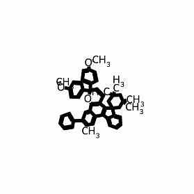 COc1ccc(C2(c3ccc(OC)cc3)C=Cc3c4c(c5cc(C)c(-c6ccccc6)cc5c3O2)-c2ccccc2C42CC(C)(C)CC(C)(C)C2)cc1